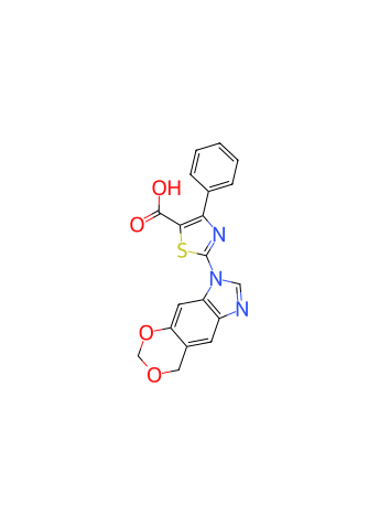 O=C(O)c1sc(-n2cnc3cc4c(cc32)OCOC4)nc1-c1ccccc1